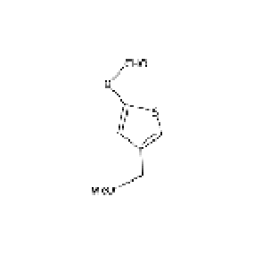 COCc1csc(OC=O)c1